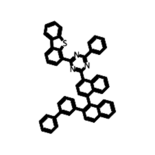 c1ccc(-c2cccc(-c3ccc4ccccc4c3-c3ccc(-c4nc(-c5ccccc5)nc(-c5cccc6c5sc5ccccc56)n4)c4ccccc34)c2)cc1